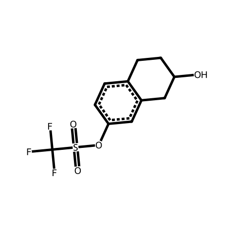 O=S(=O)(Oc1ccc2c(c1)CC(O)CC2)C(F)(F)F